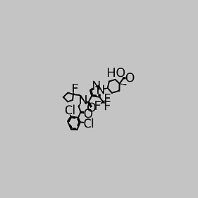 C[C@]1(C(=O)O)CC[C@H](n2ncc(C(=O)N(CC(=O)c3c(Cl)cccc3Cl)CC3(F)CCCC3)c2C(F)(F)F)CC1